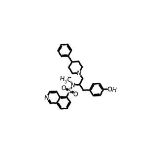 CN(C(Cc1ccc(O)cc1)CN1CCC(c2ccccc2)CC1)S(=O)(=O)c1cccc2cnccc12